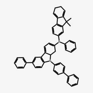 CC1(C)C2=CCCC=C2c2ccc(N(C3=CC=C4c5cc(-c6ccccc6)ccc5N(c5ccc(-c6ccccc6)cc5)C4C3)c3ccccc3)cc21